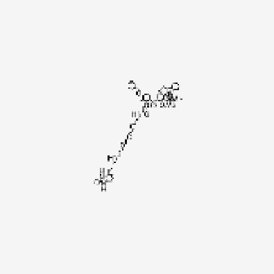 COC(=O)C1=CC(C(=O)c2ccc(OCc3ccccc3)c(C)c2OCC(=O)NCCCOCCOCCOCCCNCCCCC2SCC3NC(=O)NC32)=CN2CCc3c([nH]c4ccccc34)C12C(=O)OC